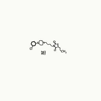 CCCC1SC(=O)N(CCCCN2CCN(c3cccc(Cl)c3)CC2)C1=O.Cl.Cl